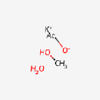 CC(=O)[O-].CO.O.[K+]